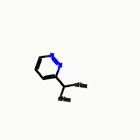 CCCCCCC(CCCCCC)c1cccnn1